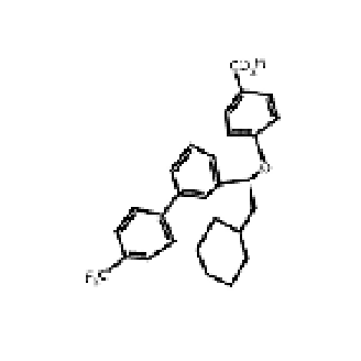 O=C(O)c1ccc(O[C@@H](CC2CCCCC2)c2cccc(-c3ccc(C(F)(F)F)cc3)c2)cc1